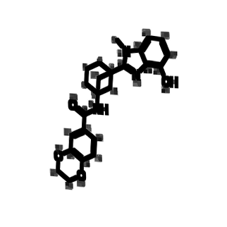 Cn1c(C23CCCC(NC(=O)c4ccc5c(c4)OCCO5)(C2)C3)nc2c(O)cccc21